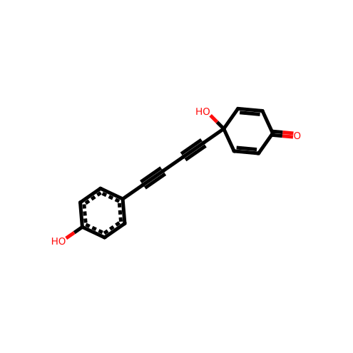 O=C1C=CC(O)(C#CC#Cc2ccc(O)cc2)C=C1